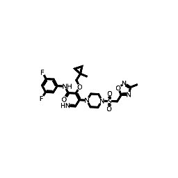 Cc1noc(CS(=O)(=O)N2CCN(/C(C=N)=C(\OCC3(C)CC3)C(=O)Nc3cc(F)cc(F)c3)CC2)n1